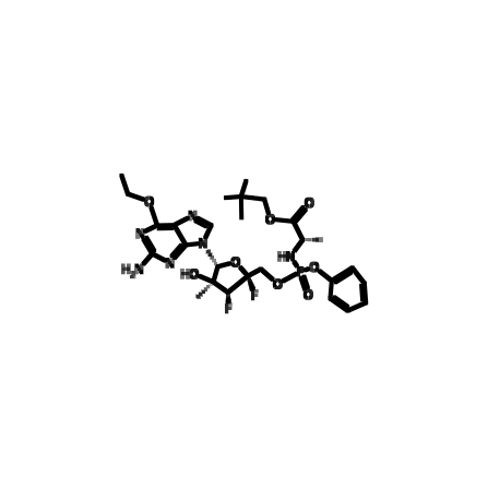 CCOc1nc(N)nc2c1ncn2[C@@H]1O[C@](F)(COP(=O)(N[C@@H](C)C(=O)OCC(C)(C)C)Oc2ccccc2)[C@@H](F)[C@@]1(C)O